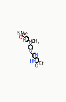 CCc1cc2ncc(CN3CCC(N(C)c4ccc(C(=O)NC)nc4)CC3)cc2[nH]c1=O